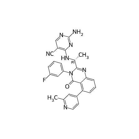 Cc1cc(-c2cccc3nc([C@@H](C)Nc4nc(N)ncc4C#N)n(-c4cccc(F)c4)c(=O)c23)ccn1